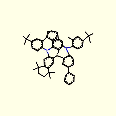 Cc1cc2c3c(c1)N(c1ccc(C(C)(C)C)cc1-c1ccccc1)c1cc4c(cc1B3c1cc(-c3ccccc3)ccc1N2c1ccc(C(C)(C)C)cc1C)C(C)(C)CCC4(C)C